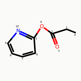 CCC(=O)Oc1ccc[c]n1